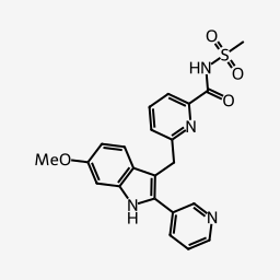 COc1ccc2c(Cc3cccc(C(=O)NS(C)(=O)=O)n3)c(-c3cccnc3)[nH]c2c1